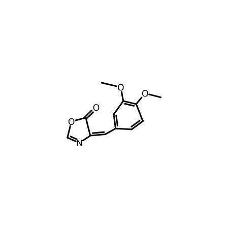 COc1ccc(C=C2N=COC2=O)cc1OC